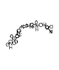 N#Cc1ccc(O[C@H]2CC[C@H](NC(=O)c3ccc(N4CC5CN(CC6CCN(c7cc8c(cc7F)C(=O)N(C7CCC(=O)NC7=O)C8=O)CC6)CC5C4)nn3)CC2)cc1Cl